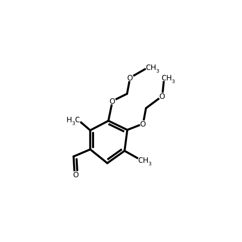 COCOc1c(C)cc(C=O)c(C)c1OCOC